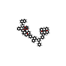 CC1(C)c2cc(-c3ccccc3-c3cc(-c4ccccc4)nc(-c4cccc5ccccc45)n3)ccc2C2(c3ccccc3Sc3ccccc32)c2cc(-c3ccc(-c4ccc(-c5nc(-c6ccccc6)cc(-c6cccc(-c7cccc8c7C(C)(C)c7ccccc7C87c8ccccc8Oc8ccccc87)c6)n5)c5ccccc45)cc3)ccc21